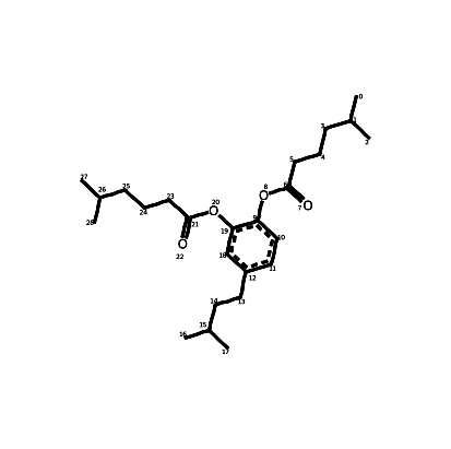 CC(C)CCCC(=O)Oc1ccc(CCC(C)C)cc1OC(=O)CCCC(C)C